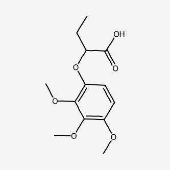 CCC(Oc1ccc(OC)c(OC)c1OC)C(=O)O